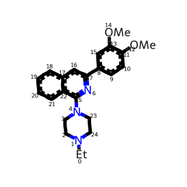 CCN1CCN(c2nc(-c3ccc(OC)c(OC)c3)cc3ccccc23)CC1